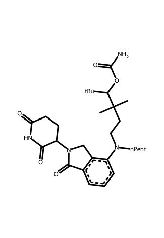 CCCCCN(CCC(C)(C)C(OC(N)=O)C(C)(C)C)c1cccc2c1CN(C1CCC(=O)NC1=O)C2=O